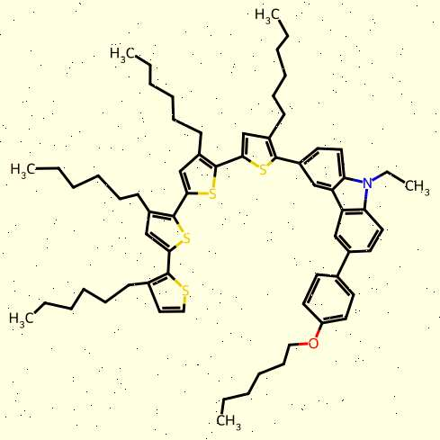 CCCCCCOc1ccc(-c2ccc3c(c2)c2cc(-c4sc(-c5sc(-c6sc(-c7sccc7CCCCCC)cc6CCCCCC)cc5CCCCCC)cc4CCCCCC)ccc2n3CC)cc1